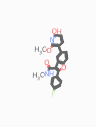 CNC(=O)c1c(-c2ccc(F)cc2)oc2ccc(-c3ccc(O)nc3OC)cc12